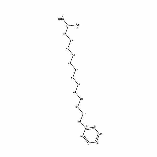 CCCCC(CCCCCCCCCCCCCc1ccccc1)C(C)=O